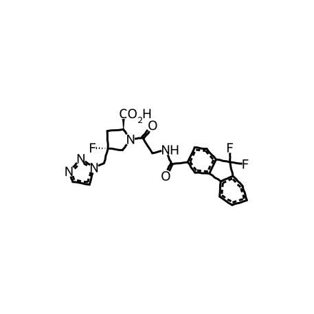 O=C(NCC(=O)N1C[C@@](F)(Cn2ccnn2)C[C@H]1C(=O)O)c1ccc2c(c1)-c1ccccc1C2(F)F